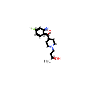 C[C@H](O)CCN1CCC(c2onc3cc(F)ccc23)CC1